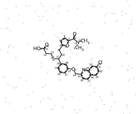 CN(C)C(=O)c1ccc(CCC(SCCC(=O)O)c2cccc(OCc3ccc4ccc(Cl)cc4n3)c2)o1